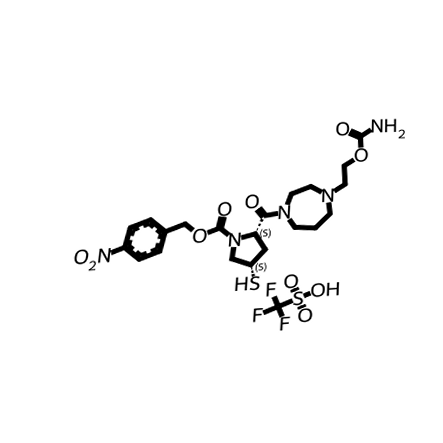 NC(=O)OCCN1CCCN(C(=O)[C@@H]2C[C@H](S)CN2C(=O)OCc2ccc([N+](=O)[O-])cc2)CC1.O=S(=O)(O)C(F)(F)F